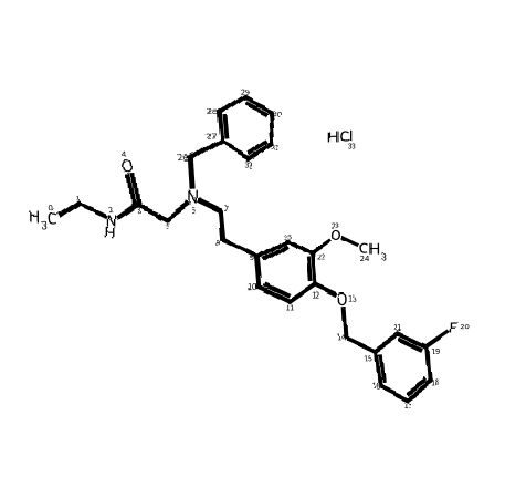 CCNC(=O)CN(CCc1ccc(OCc2cccc(F)c2)c(OC)c1)Cc1ccccc1.Cl